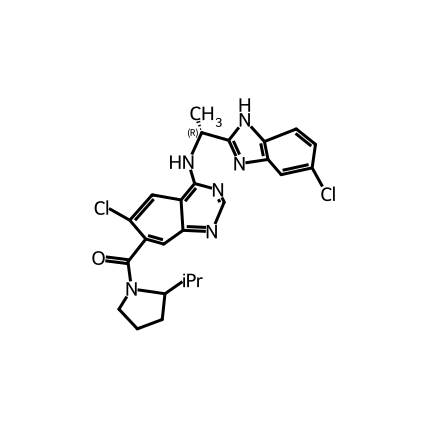 CC(C)C1CCCN1C(=O)c1cc2ncnc(N[C@H](C)c3nc4cc(Cl)ccc4[nH]3)c2cc1Cl